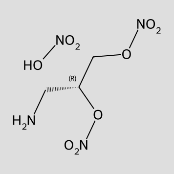 NC[C@H](CO[N+](=O)[O-])O[N+](=O)[O-].O=[N+]([O-])O